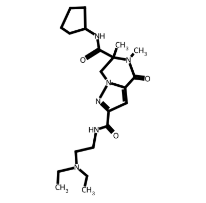 CCN(CC)CCNC(=O)c1cc2n(n1)CC(C)(C(=O)NC1CCCC1)N(C)C2=O